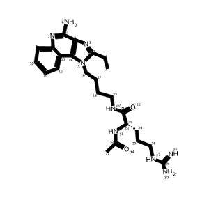 CCc1nc2c(N)nc3ccccc3c2n1CCCCNC(=O)[C@H](CCCNC(=N)N)NC(C)=O